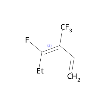 C=C/C(=C(/F)CC)C(F)(F)F